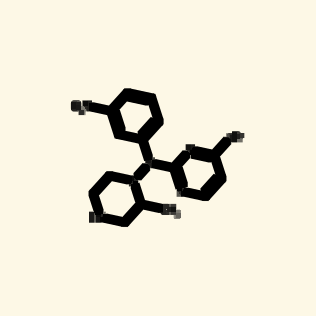 CCCc1ccnc(N(c2cccc([N+](=O)[O-])c2)N2CCNCC2C)n1